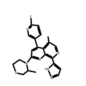 Cc1cnc(-c2ccn[nH]2)c2nc(N3CCOCC3C)cc(-c3ccc(F)nc3)c12